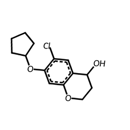 OC1CCOc2cc(OC3CCCC3)c(Cl)cc21